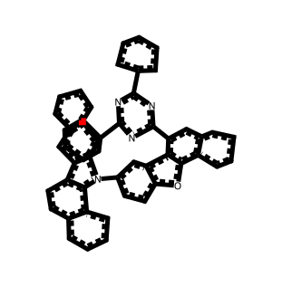 c1ccc(-c2nc(-c3ccccc3)nc(-c3cc4ccccc4c4oc5ccc(-n6c7cc8ccccc8cc7c7ccc8ccccc8c76)cc5c34)n2)cc1